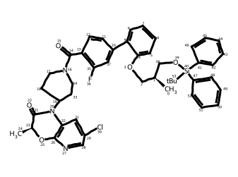 C[C@@H](COc1ccccc1-c1ccc(C(=O)N2CCC(N3C(=O)[C@H](C)Oc4ncc(Cl)cc43)CC2)c(F)c1)CO[Si](c1ccccc1)(c1ccccc1)C(C)(C)C